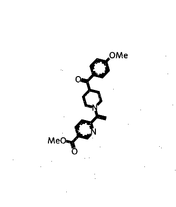 C=C(c1ccc(C(=O)OC)cn1)N1CCC(C(=O)c2ccc(OC)cc2)CC1